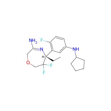 CC[C@]1(c2cc(NC3CCCC3)ccc2F)N=C(N)COCC1(F)F